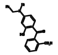 CCN(CC(C)C)c1ccc(C(=O)c2ccccc2C(=O)O)c(O)c1